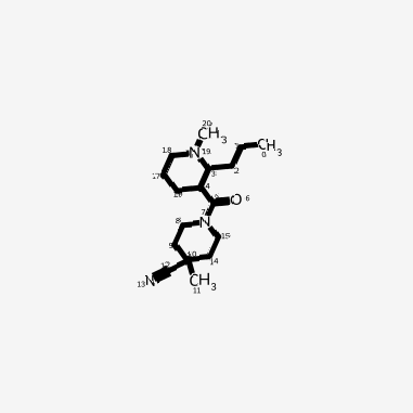 CCCC1C(C(=O)N2CCC(C)(C#N)CC2)CCCN1C